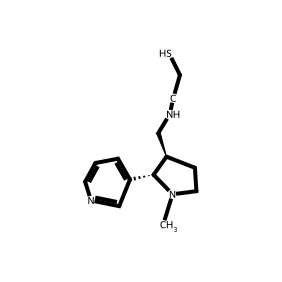 CN1CC[C@H](CNCCS)[C@H]1c1cccnc1